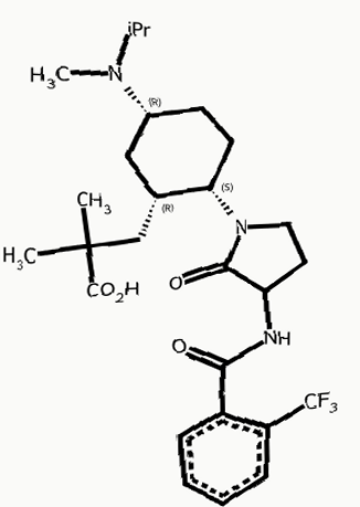 CC(C)N(C)[C@@H]1CC[C@H](N2CCC(NC(=O)c3ccccc3C(F)(F)F)C2=O)[C@H](CC(C)(C)C(=O)O)C1